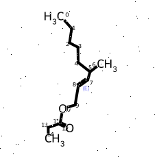 CCCCCC(C)/C=C/COC(=O)CC